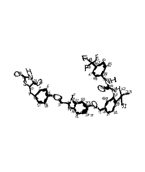 Cn1c(COc2ccc(CC3SC(=O)NC3=O)cc2)nc2ccc(OCc3ccc(C(C)(C)C)c(NC(=O)Nc4ccc(C(F)(F)F)cc4)c3)cc21